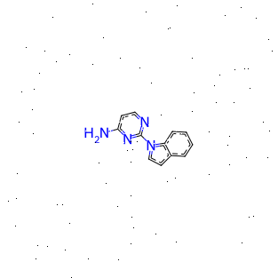 Nc1ccnc(-n2ccc3ccccc32)n1